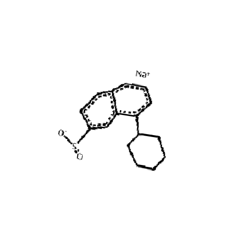 O=S([O-])c1ccc2cccc(C3CCCCC3)c2c1.[Na+]